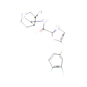 O=C(N[C@H]1CN2CCC1CC2)c1ncc(Sc2ccc(F)c(F)c2)o1